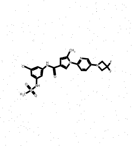 Cc1cc(C(=O)Nc2cc(Cl)cc(NS(C)(=O)=O)c2)cn1-c1ccc(N2CC(F)(F)C2)cn1